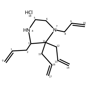 C=CCC1NCCN(CC=C)C1(CC=C)CC=C.Cl